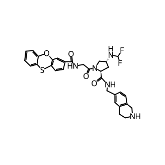 O=C(NCC(=O)N1C[C@H](NC(F)F)C[C@H]1C(=O)NCc1ccc2c(c1)CCNC2)c1ccc2c(c1)Oc1ccccc1S2